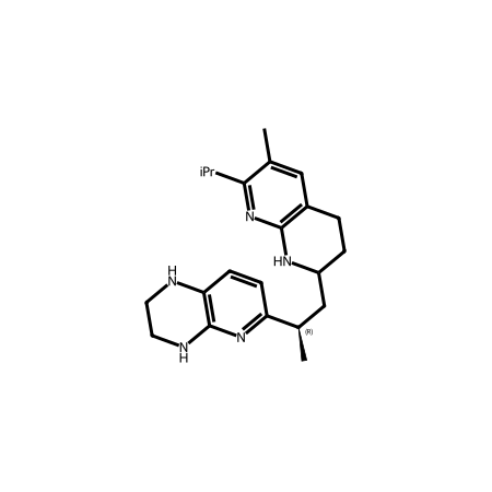 Cc1cc2c(nc1C(C)C)NC(C[C@@H](C)c1ccc3c(n1)NCCN3)CC2